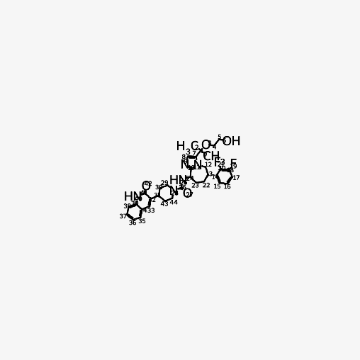 CC(C)(OCCO)c1cnc2n1C[C@H](c1cccc(F)c1F)CC[C@H]2NC(=O)N1CCC(c2cc3ccccc3[nH]c2=O)CC1